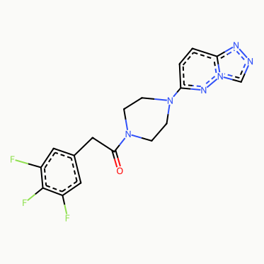 O=C(Cc1cc(F)c(F)c(F)c1)N1CCN(c2ccc3nncn3n2)CC1